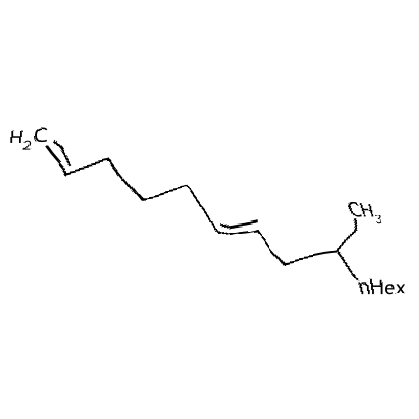 C=CCCCC=CCC(C)CCCCCC